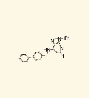 CC(C)n1cnc2c(NCc3ccc(-c4ccccc4)cc3)cc(I)nc21